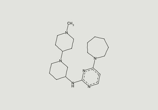 CN1CCC(N2CCCC(Nc3nccc(N4CCCCCC4)n3)C2)CC1